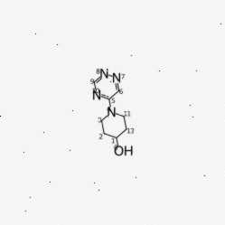 OC1CCN(c2cnncn2)CC1